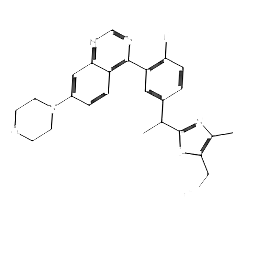 Cc1nc(C(C)c2ccc(F)c(-c3ncnc4cc(N5CCOCC5)ccc34)c2)sc1CO